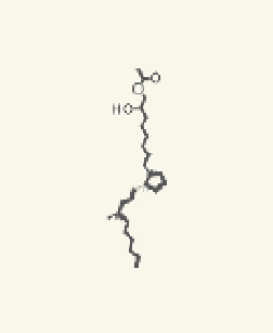 CCCCCC[C@@H](C)CC=C[C@H]1C=CC[C@@H]1CCCCCCC(O)COC(C)=O